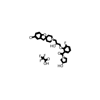 O=C(O)C(F)(F)F.O=C(c1cccc(F)c1OC[C@@H](O)CN1CCC2(CC1)Cc1cc(Cl)ccc1O2)N1CC[C@H](O)C1